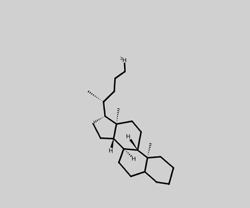 [2H]CCC[C@@H](C)[C@H]1CC[C@H]2[C@@H]3CCC4CCCC[C@]4(C)[C@H]3CC[C@]12C